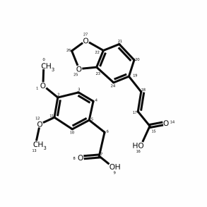 COc1ccc(CC(=O)O)cc1OC.O=C(O)C=Cc1ccc2c(c1)OCO2